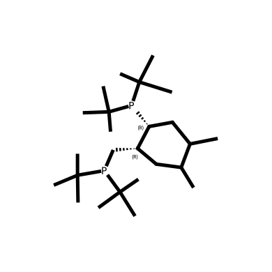 CC1C[C@H](CP(C(C)(C)C)C(C)(C)C)[C@H](P(C(C)(C)C)C(C)(C)C)CC1C